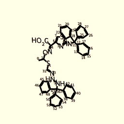 CC(ON=C(C(=O)O)c1csc(NC(c2ccccc2)(c2ccccc2)c2ccccc2)n1)SC=NNNC(c1ccccc1)(c1ccccc1)c1ccccc1